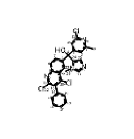 Cc1cc(C(O)(c2ccc3nc(Cl)c(-c4ccccc4)c(Cl)c3c2)c2cncn2C)cc(Cl)n1